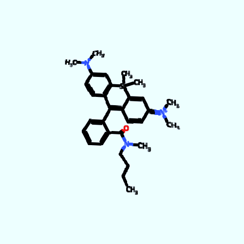 CCCCN(C)C(=O)c1ccccc1C1=C2C=CC(=[N+](C)C)C=C2[Si](C)(C)c2cc(N(C)C)ccc21